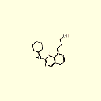 OCCCN1C=CCC2=CN=C(NC3CCCCC3)NC21